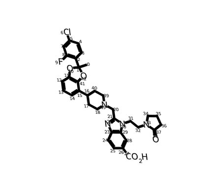 CC1(c2ccc(Cl)cc2F)Oc2cccc(C3CCN(Cc4nc5ccc(C(=O)O)cc5n4CCN4CCCC4=O)CC3)c2O1